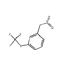 O=[SH](=O)Cc1cccc(SC(F)(F)F)c1